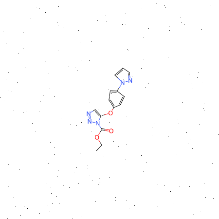 CCOC(=O)n1nncc1Oc1ccc(-n2cccn2)cc1